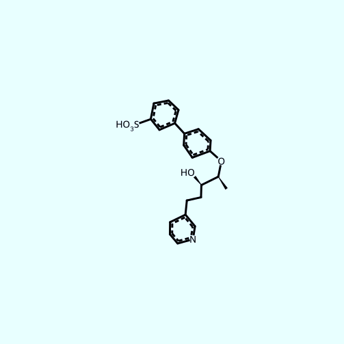 C[C@H](Oc1ccc(-c2cccc(S(=O)(=O)O)c2)cc1)[C@H](O)CCc1cccnc1